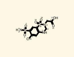 NS(=O)(=O)c1cc2c(cc1Cl)NCN(CC(=O)O)S2(=O)=O